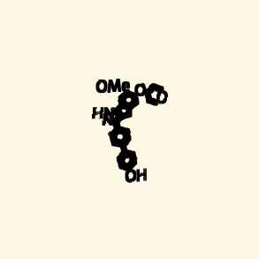 COc1cc2c(cc1OC1CCOCC1)Cc1c(-c3ccc(-c4ccc(O)cc4)cc3)n[nH]c1-2